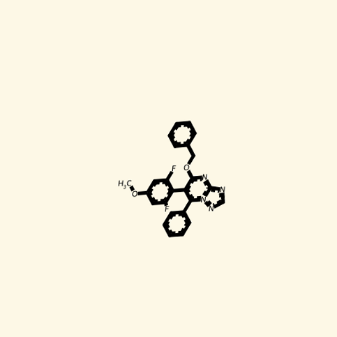 COc1cc(F)c(-c2c(OCc3ccccc3)nc3ncnn3c2-c2ccccc2)c(F)c1